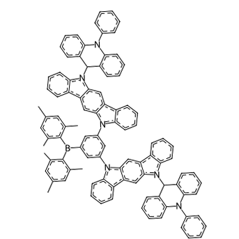 Cc1cc(C)c(B(c2cc(-n3c4ccccc4c4cc5c(cc43)c3ccccc3n5C3c4ccccc4N(c4ccccc4)c4ccccc43)cc(-n3c4ccccc4c4cc5c(cc43)c3ccccc3n5C3c4ccccc4N(c4ccccc4)c4ccccc43)c2)c2c(C)cc(C)cc2C)c(C)c1